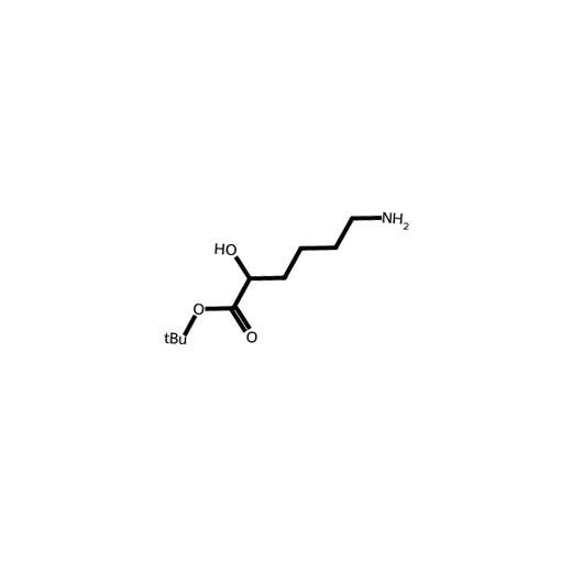 CC(C)(C)OC(=O)C(O)CCCCN